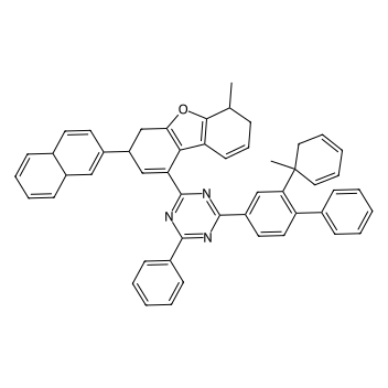 CC1CC=Cc2c1oc1c2C(c2nc(-c3ccccc3)nc(-c3ccc(-c4ccccc4)c(C4(C)C=CC=CC4)c3)n2)=CC(C2=CC3C=CC=CC3C=C2)C1